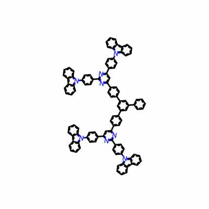 c1ccc(-c2cc(-c3ccc(-c4cc(-c5ccc(-n6c7ccccc7c7ccccc76)cc5)nc(-c5ccc(-n6c7ccccc7c7ccccc76)cc5)n4)cc3)cc(-c3ccc(-c4cc(-c5ccc(-n6c7ccccc7c7ccccc76)cc5)nc(-c5ccc(-n6c7ccccc7c7ccccc76)cc5)n4)cc3)c2)cc1